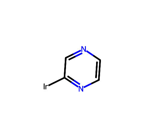 [Ir][c]1cnccn1